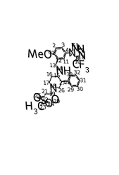 COc1ccc(-n2nnnc2C(F)(F)F)cc1CNC1CCN(C(=O)CS(C)(=O)=O)CC1c1ccccc1